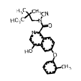 Cc1ccccc1Oc1ccc2c(C(=O)N(C#N)CC(C)(C)C(=O)O)ncc(O)c2c1